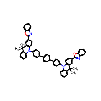 CC1(C)c2ccccc2N(c2ccc(-c3ccc(-c4ccc(N5c6ccccc6C(C)(C)c6cc(-c7nc8ccccc8o7)ccc65)cc4)cc3)cc2)c2ccc(-c3nc4ccccc4o3)cc21